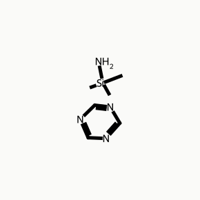 C[Si](C)(C)N.c1ncncn1